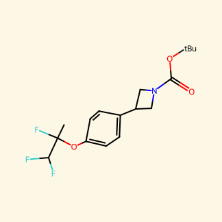 CC(C)(C)OC(=O)N1CC(c2ccc(OC(C)(F)C(F)F)cc2)C1